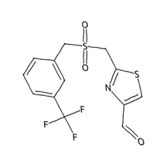 O=Cc1csc(CS(=O)(=O)Cc2cccc(C(F)(F)F)c2)n1